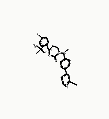 Cc1nccc(-c2ccc([C@H](C)N3CC[C@](CC(C)(C)N)(c4ccc(F)cc4)OC3=O)cc2)n1